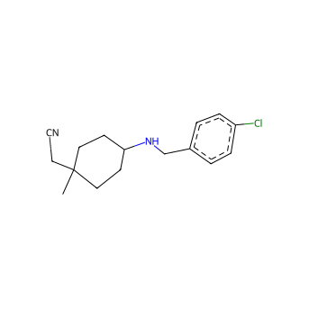 CC1(CC#N)CCC(NCc2ccc(Cl)cc2)CC1